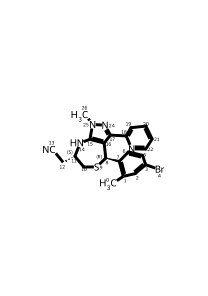 Cc1cc(Br)ccc1[C@H]1SC[C@H](CC#N)Nc2c1c(-c1ccccn1)nn2C